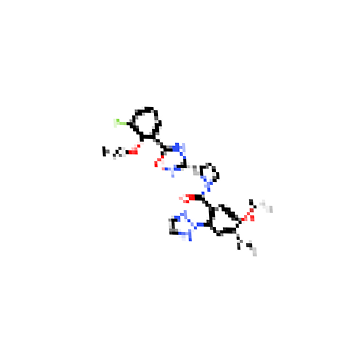 COc1cc(C(=O)N2CC[C@H]2c2noc(-c3cccc(F)c3OC)n2)c(-n2nccn2)cc1C